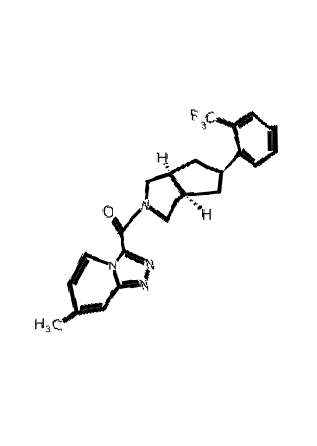 Cc1ccn2c(C(=O)N3C[C@H]4C[C@@H](c5ccccc5C(F)(F)F)C[C@H]4C3)nnc2c1